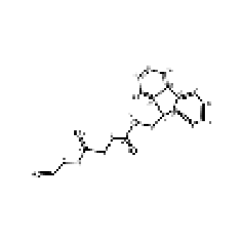 O=CCCC(=O)CCC(=O)OCC1c2ccccc2-c2ccccc21